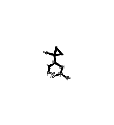 CC(C)(C)[S@@+]([O-])N[C@@H](CC(=O)O)C1(F)CC1